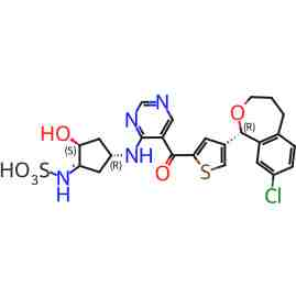 O=C(c1cc([C@@H]2OCCCc3ccc(Cl)cc32)cs1)c1cncnc1N[C@@H]1C[C](NS(=O)(=O)O)[C@@H](O)C1